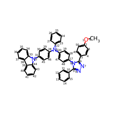 COc1ccc(-c2nnc(-c3ccccc3)n2-c2ccc(N(c3ccccc3)c3ccc(-n4c5ccccc5c5ccccc54)cc3)cc2)cc1